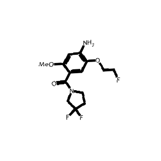 COc1cc(N)c(OCCF)cc1C(=O)N1CCC(F)(F)C1